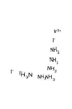 N.N.N.N.N.N.[I-].[I-].[I-].[Ir+3]